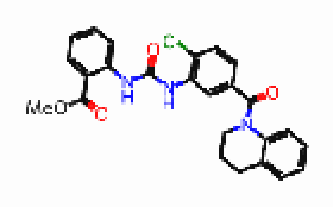 COC(=O)c1ccccc1NC(=O)Nc1cc(C(=O)N2CCCc3ccccc32)ccc1Cl